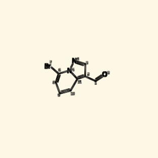 O=Cc1cnn2c(Br)cccc12